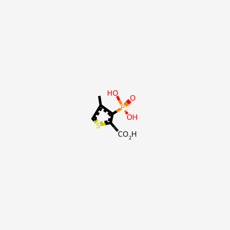 Cc1csc(C(=O)O)c1P(=O)(O)O